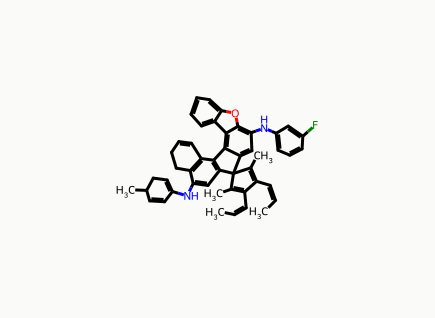 C/C=C\C1=C(C)C2(C(C)=C1/C=C\C)c1cc(NC3=CCC(C)C=C3)c3c(c1-c1c2cc(Nc2cccc(F)c2)c2oc4ccccc4c12)C=CCC3